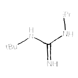 CC(C)NC(=N)NC(C)(C)C